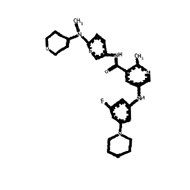 Cc1ncc(Nc2cc(F)cc(N3CCCCC3)c2)cc1C(=O)Nc1ccc(N(C)C2CCOCC2)nc1